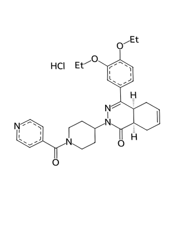 CCOc1ccc(C2=NN(C3CCN(C(=O)c4ccncc4)CC3)C(=O)[C@@H]3CC=CC[C@H]23)cc1OCC.Cl